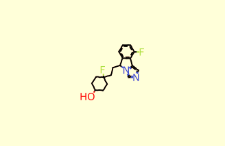 OC1CCC(F)(CCC2c3cccc(F)c3-c3cncn32)CC1